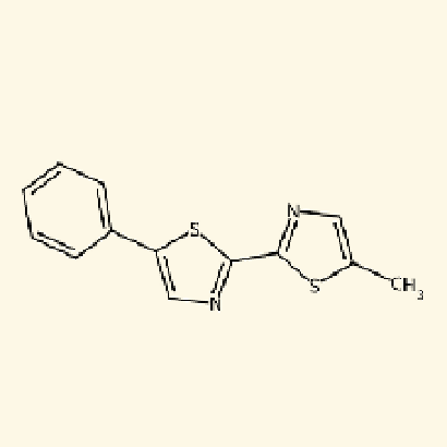 Cc1cnc(-c2ncc(-c3ccccc3)s2)s1